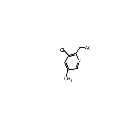 CC(=O)Cc1ncc(C)cc1Cl